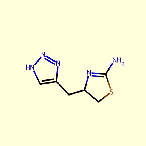 NC1=NC(Cc2c[nH]nn2)CS1